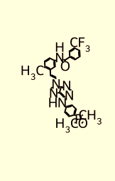 Cc1ccc(NC(=O)c2cccc(C(F)(F)F)c2)cc1C=Cn1cnc2c(Nc3ccc(P(C)(C)=O)cc3)ncnc21